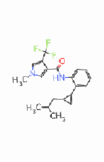 CC(C)CC1CC1c1ccccc1NC(=O)c1cn(C)cc1C(F)(F)F